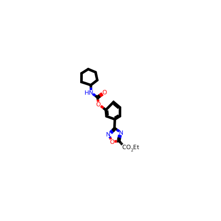 CCOC(=O)c1nc(-c2cccc(OC(=O)NC3CCCCC3)c2)no1